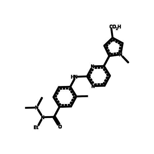 CCN(C(=O)c1ccc(Nc2nccc(-c3cc(C(=O)O)cn3C)n2)c(C)c1)N(C)C